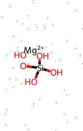 [Mg+2].[O-][Si](O)(O)O.[OH-]